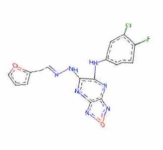 Fc1ccc(Nc2nc3nonc3nc2N/N=C/c2ccco2)cc1Cl